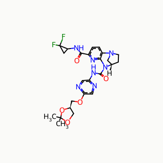 CC1(C)OC[C@H](COc2cnc(NC(=O)N3c4nc(C(=O)NC5CC5(F)F)ccc4N4CC[C@H]3C4)cn2)O1